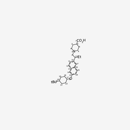 CCC(CN1CCC(C(=O)O)CC1)c1ccc2cc(OC3CCC(C(C)(C)C)CC3)ccc2c1